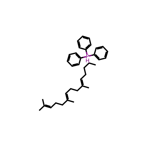 CC(C)=CCC/C(C)=C/CC/C(C)=C/CCC(C)[PH](c1ccccc1)(c1ccccc1)c1ccccc1